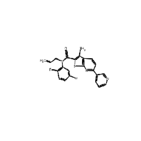 C=CCN(C(=O)c1sc2nc(-c3cccnc3)ccc2c1N)c1cc(F)ccc1F